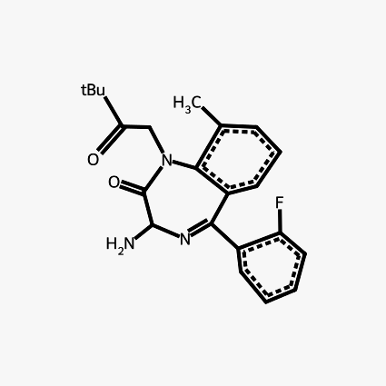 Cc1cccc2c1N(CC(=O)C(C)(C)C)C(=O)C(N)N=C2c1ccccc1F